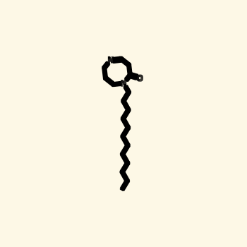 CCCCCCCCCCCCN1CCCN=CCC1=O